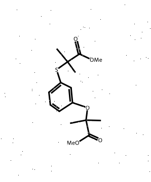 COC(=O)C(C)(C)Oc1cccc(SC(C)(C)C(=O)OC)c1